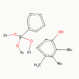 CCO[Si](OCC)(OCC)c1ccccc1.Cc1ccc(O)c(C(C)(C)C)c1C(C)(C)C